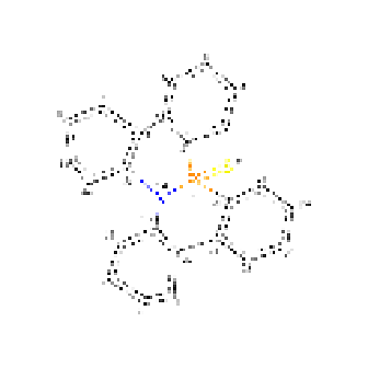 S=P12c3ccccc3-c3ccccc3N1c1ccccc1-c1ccccc12